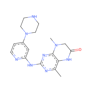 Cc1nc(Nc2cc(N3CCNCC3)ccn2)nc2c1NC(=O)CN2C